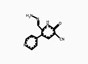 N#Cc1cc(-c2ccncc2)c(C=NN)[nH]c1=O